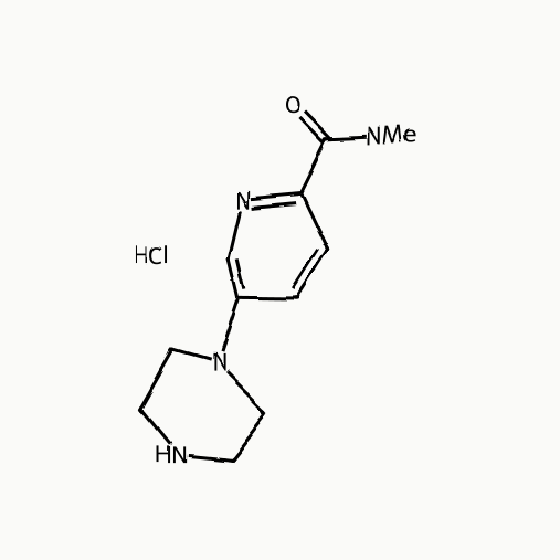 CNC(=O)c1ccc(N2CCNCC2)cn1.Cl